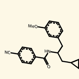 COc1cccc(CC(CC2CC2)NC(=O)c2ccc(C#N)cc2)c1